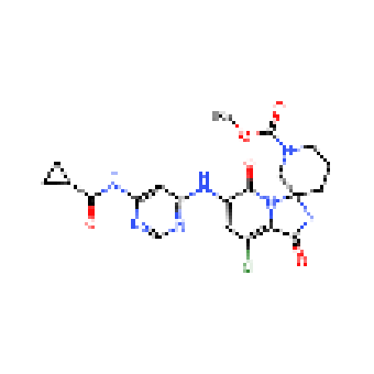 CC(C)(C)OC(=O)N1CCCC2(C1)NC(=O)c1c(Cl)cc(Nc3cc(NC(=O)C4CC4)ncn3)c(=O)n12